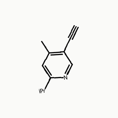 C#Cc1cnc(C(C)C)cc1C